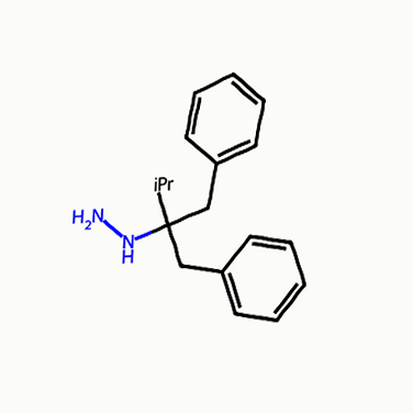 CC(C)C(Cc1ccccc1)(Cc1ccccc1)NN